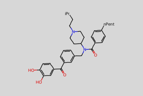 CCCCCc1ccc(C(=O)N(Cc2cccc(C(=O)c3ccc(O)c(O)c3)c2)C2CCN(CCC(C)C)CC2)cc1